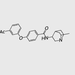 CC(=O)c1cccc(Oc2ccc(C(=O)NC3CN4CCC3CC4C)cc2)c1